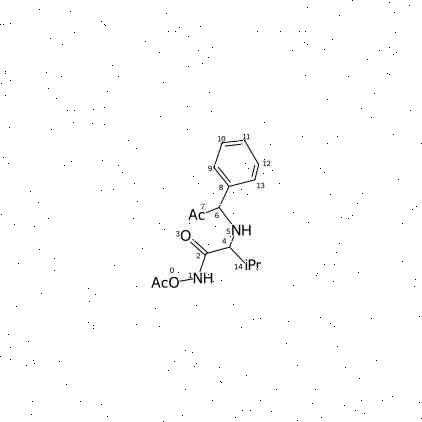 CC(=O)ONC(=O)C(NC(C(C)=O)c1ccccc1)C(C)C